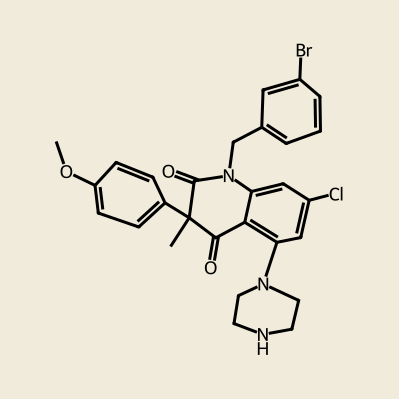 COc1ccc(C2(C)C(=O)c3c(N4CCNCC4)cc(Cl)cc3N(Cc3cccc(Br)c3)C2=O)cc1